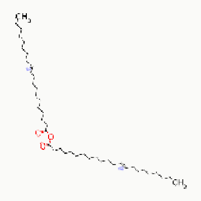 CCCCCCCC/C=C/CCCCCCCCCCCC(=O)OC(=O)CCCCCCCCC/C=C/CCCCCCCC